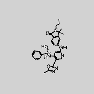 CCCN1C(=O)c2ccc(Nc3cc(N[C@H](CO)c4ccccc4)c(-c4nnc(C)o4)cn3)cc2C1(C)C